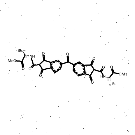 CC[C@H](C)[C@H](NC(=O)C1C(=O)c2ccc(C(=O)c3ccc4c(c3)C(=O)C(C(=O)N[C@H](C(=O)OC)[C@@H](C)CC)C4=O)cc2C1=O)C(=O)OC